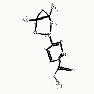 COC(=O)c1ccc(B2OC3(C)CC3(C)O2)cn1